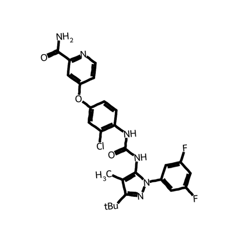 Cc1c(C(C)(C)C)nn(-c2cc(F)cc(F)c2)c1NC(=O)Nc1ccc(Oc2ccnc(C(N)=O)c2)cc1Cl